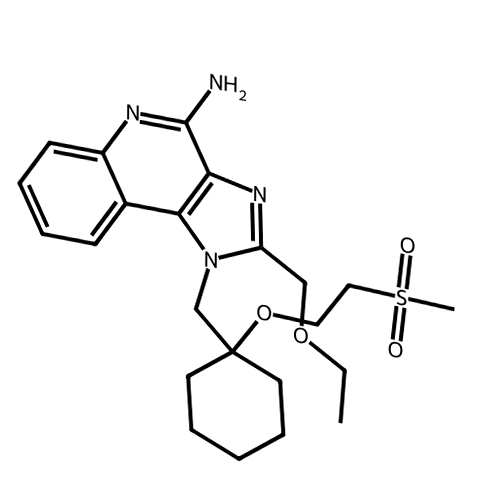 CCOCc1nc2c(N)nc3ccccc3c2n1CC1(OCCS(C)(=O)=O)CCCCC1